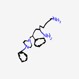 NCCCC(N)CC(CN1CCN(c2ccccc2)CC1)c1ccccc1